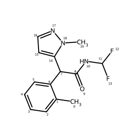 Cc1ccccc1C(C(=O)NC(F)F)c1ccnn1C